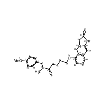 COc1ccc(CN(C)C(=O)CCCCOc2cccc3c2CN2CC(=O)NC2=N3)cc1